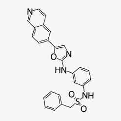 O=S(=O)(Cc1ccccc1)Nc1cccc(Nc2ncc(-c3ccc4cnccc4c3)o2)c1